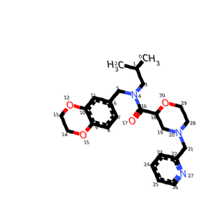 CC(C)CN(Cc1ccc2c(c1)OCCO2)C(=O)C1CN(Cc2ccccn2)CCO1